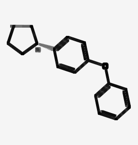 [CH]1CC[C@@H](c2ccc(Oc3ccccc3)cc2)C1